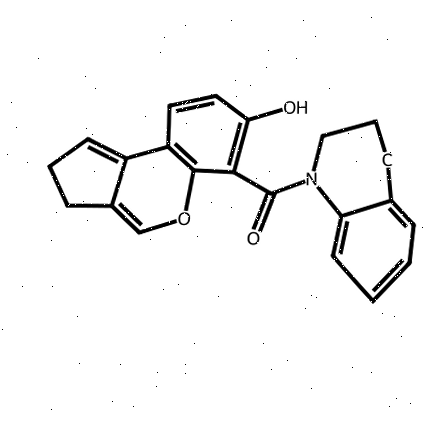 O=C(c1c(O)ccc2c1OC=C1CCC=C12)N1CCCc2ccccc21